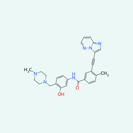 Cc1ccc(C(=O)Nc2ccc(CN3CCN(C)CC3)c(O)c2)cc1C#Cc1cnc2cccnn12